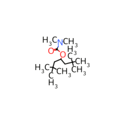 CN(C)C(=O)OC(CC(C)(C)C)CC(C)(C)C